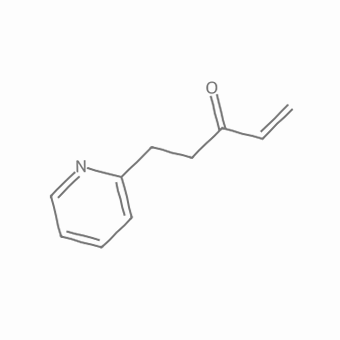 C=CC(=O)CCc1ccccn1